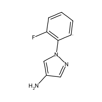 Nc1cnn(-c2[c]cccc2F)c1